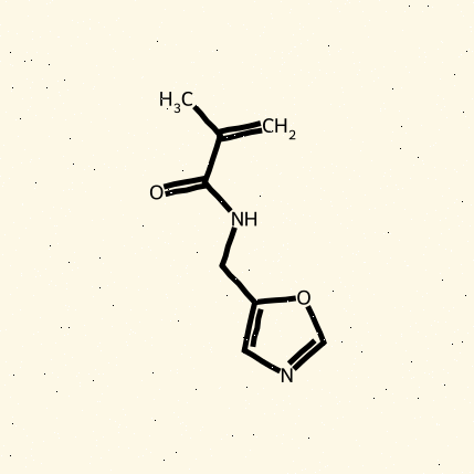 C=C(C)C(=O)NCc1cnco1